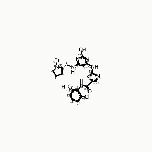 CCN1CCC[C@H]1CNc1cc(Nc2ncc(C(=O)Nc3c(C)cccc3Cl)s2)nc(C)n1